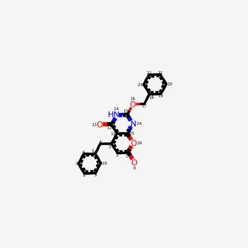 O=c1cc(Cc2ccccc2)c2c(=O)[nH]c(OCc3ccccc3)nc2o1